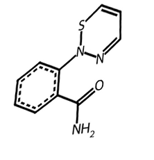 NC(=O)c1ccccc1N1N=CC=CS1